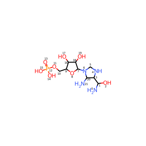 NC(O)C1NCN(C2OC(COP(=O)(O)O)C(O)C2O)C1N